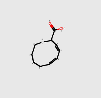 O=C(O)C1C=CC=CCCCCC1